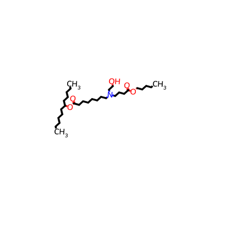 CCCCCCC(CCCCC)OC(=O)CCCCCCCN(CCO)CCCC(=O)OCCCCC